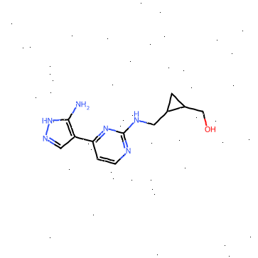 Nc1[nH]ncc1-c1ccnc(NCC2CC2CO)n1